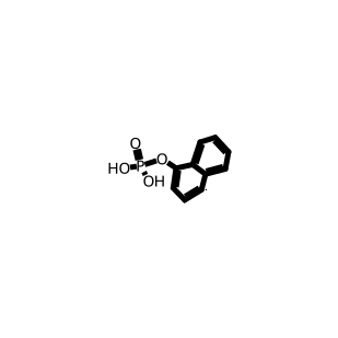 O=P(O)(O)Oc1cc[c]c2ccccc12